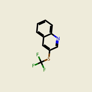 FC(F)(F)Sc1cnc2ccccc2c1